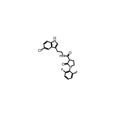 O=C(NCCc1c[nH]c2ccc(Cl)cc12)C1CCN(c2c(F)cccc2F)C1=O